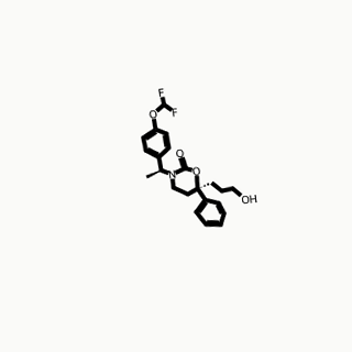 C[C@@H](c1ccc(OC(F)F)cc1)N1CC[C@](CCCO)(c2ccccc2)OC1=O